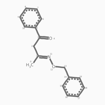 CC(CC(=O)c1ccccc1)=NOCc1ccccc1